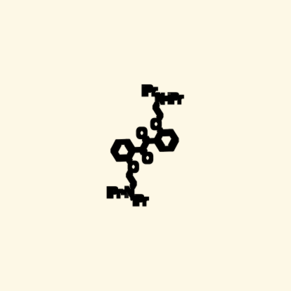 CC(C)N(CCOc1ccccc1C(=O)C(=O)c1ccccc1OCCN(C(C)C)C(C)C)C(C)C